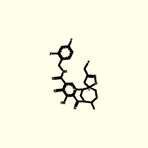 CC1CC[C@]2(CC(CF)=NO2)C2CN1C(=O)c1c(O)c(=O)c(C(=O)NCc3ccc(F)cc3F)cn12